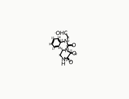 O=[C]CN(C(=O)N1CCNC(=O)C1=O)c1ccccc1